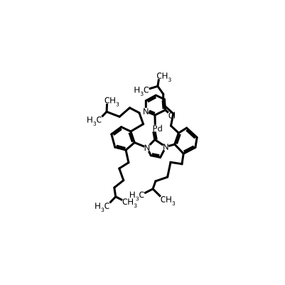 CC(C)CCCCc1cccc(CCCCC(C)C)c1-n1ccn(-c2c(CCCCC(C)C)cccc2CCCCC(C)C)[c]1=[Pd][c]1ncccc1Cl